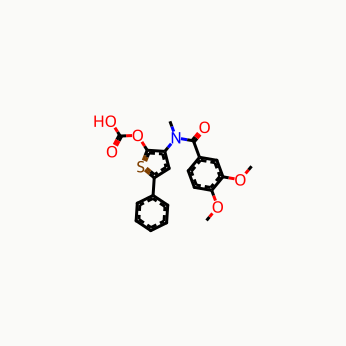 COc1ccc(C(=O)N(C)c2cc(-c3ccccc3)sc2OC(=O)O)cc1OC